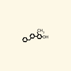 CCc1cc(O)ccc1-c1cccc(Cc2ccccc2)c1